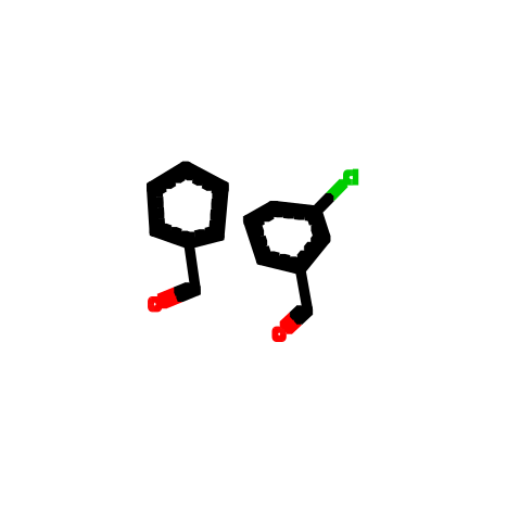 O=Cc1cccc(Cl)c1.O=Cc1ccccc1